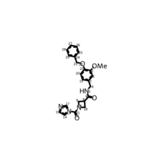 COc1cc(CNC(=O)C2CN(C(=O)n3ccnc3)C2)ccc1OCc1ccccc1